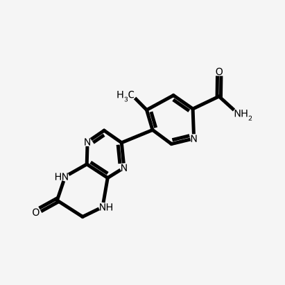 Cc1cc(C(N)=O)ncc1-c1cnc2c(n1)NCC(=O)N2